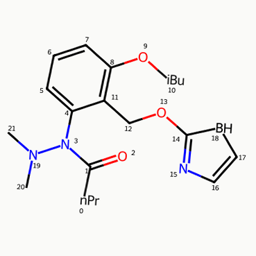 CCCC(=O)N(c1cccc(OC(C)CC)c1COC1=NC=CB1)N(C)C